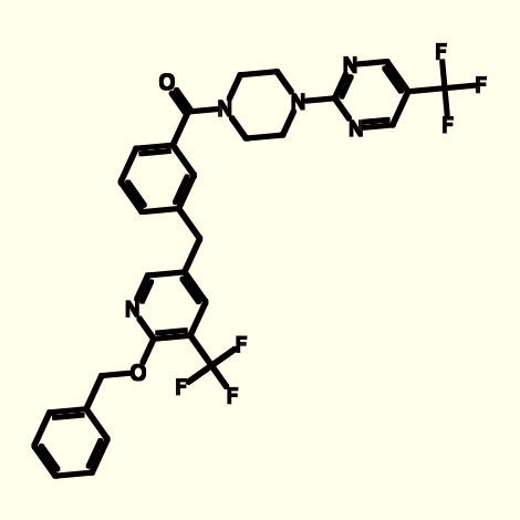 O=C(c1cccc(Cc2cnc(OCc3ccccc3)c(C(F)(F)F)c2)c1)N1CCN(c2ncc(C(F)(F)F)cn2)CC1